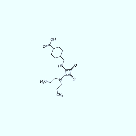 CCCN(CCC)c1c(NCC2CCC(C(=O)O)CC2)c(=O)c1=O